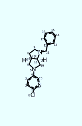 Clc1ccc(N2C[C@H]3CCN(Cc4ccccc4)[C@H]3C2)cn1